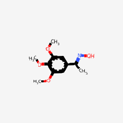 COc1cc(C(C)=NO)cc(OC)c1OC